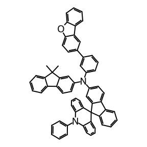 CC1(C)c2ccccc2-c2ccc(N(c3cccc(-c4ccc5oc6ccccc6c5c4)c3)c3ccc4c(c3)C3(c5ccccc5-4)c4ccccc4N(c4ccccc4)c4ccccc43)cc21